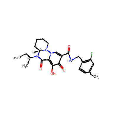 COC[C@H](C)N1C(=O)c2c(O)c(=O)c(C(=O)NCc3ccc(C)cc3F)cn2N2CCCC[C@@H]12